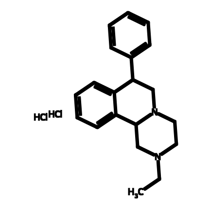 CCN1CCN2CC(c3ccccc3)c3ccccc3C2C1.Cl.Cl